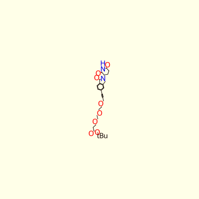 CC(C)(C)OC(=O)CCOCCOCCOCC#Cc1ccc2c(c1)CN(C1CCC(=O)NC1=O)C2=O